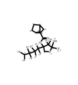 O=C(OC1(C(F)(F)C(F)(F)C(F)(F)C(F)F)COC(O)(C(F)(F)F)C1(F)F)C1CC2CCC1C2